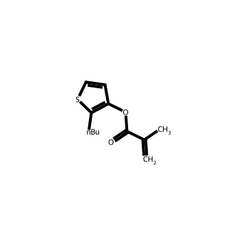 C=C(C)C(=O)Oc1ccsc1CCCC